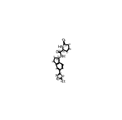 CCc1nc(-c2ccc3c(c2)CC[C@H]3NC(=O)C2CCCC(=O)N2)no1